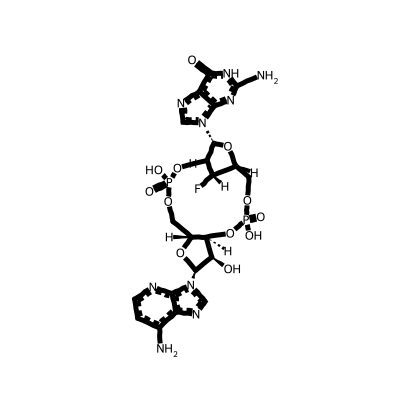 Nc1nc2c(ncn2[C@@H]2O[C@@H]3COP(=O)(O)O[C@H]4[C@@H](O)[C@H](n5cnc6c(N)ccnc65)O[C@@H]4COP(=O)(O)O[C@@H]2[C@H]3F)c(=O)[nH]1